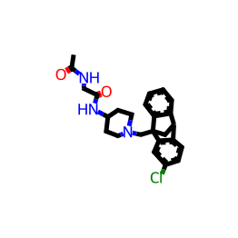 CC(=O)NCC(=O)NC1CCN(CC23CC(c4ccccc42)c2ccc(Cl)cc23)CC1